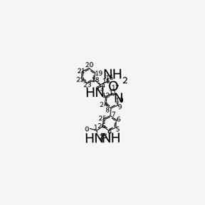 CC1NNc2ccc(-c3cncc(N[C@H](C(N)=O)c4ccccc4)c3)cc21